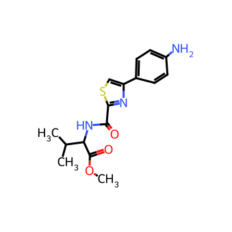 COC(=O)C(NC(=O)c1nc(-c2ccc(N)cc2)cs1)C(C)C